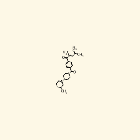 CC(C)CN(C)C(=O)c1ccc(C(=O)N2CCC(N3CCCC(C)C3)CC2)cc1